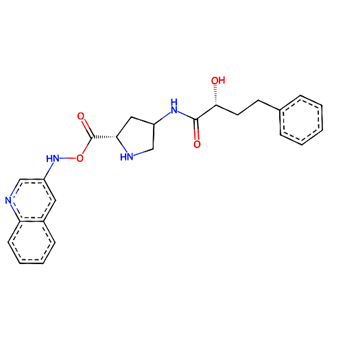 O=C(NC1CN[C@H](C(=O)ONc2cnc3ccccc3c2)C1)[C@H](O)CCc1ccccc1